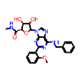 CNC(=O)[C@@H]1OC(n2cnc3c(NCc4ccccc4)nc(-c4ccccc4OC)nc32)C(O)C1O